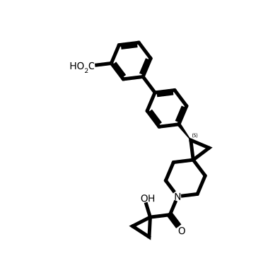 O=C(O)c1cccc(-c2ccc([C@H]3CC34CCN(C(=O)C3(O)CC3)CC4)cc2)c1